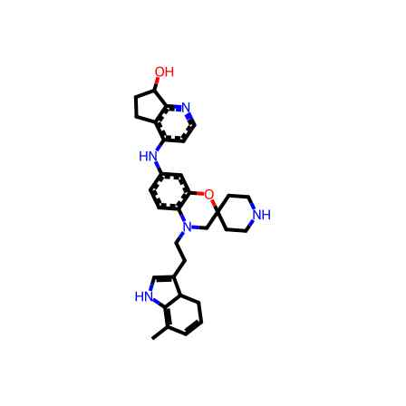 CC1=C2NC=C(CCN3CC4(CCNCC4)Oc4cc(Nc5ccnc6c5CCC6O)ccc43)C2CC=C1